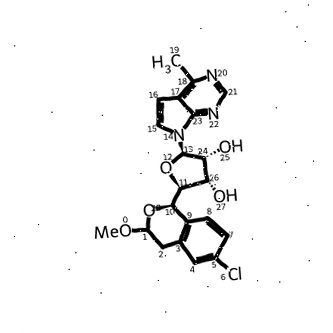 COC1Cc2cc(Cl)ccc2[C@H]([C@H]2O[C@@H](n3ccc4c(C)ncnc43)[C@H](O)[C@@H]2O)O1